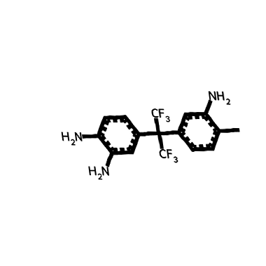 Cc1ccc(C(c2ccc(N)c(N)c2)(C(F)(F)F)C(F)(F)F)cc1N